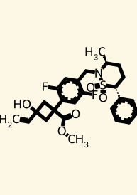 C=CC1(O)CC(C(=O)OC)(c2cc(F)c(CN3[C@@H](C)CC[C@H](c4ccccc4)S3(=O)=O)cc2F)C1